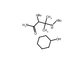 CCCCNC(C)(C)C(CCCC)C(N)=O.OC1CCCCC1